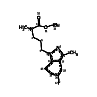 Cc1nn(CCCN(C)C(=O)OC(C)(C)C)c2ccc(F)cc12